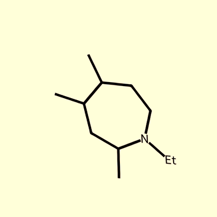 CCN1CCC(C)C(C)CC1C